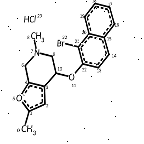 Cc1cc2c(o1)CN(C)CC2Oc1ccc2ccccc2c1Br.Cl